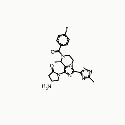 Cc1nsc(-c2nc(N3C[C@H](N)CC3=O)c3n2CCN(C(=O)c2ccc(F)cc2)[C@@H]3C)n1